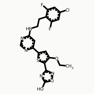 CCOc1cc(-c2cc(NCCc3c(F)cc(Cl)cc3F)ncn2)sc1-c1noc(O)n1